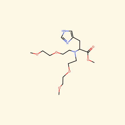 COCCOCCN(CCOCCOC)C(Cc1c[nH]cn1)C(=O)OC